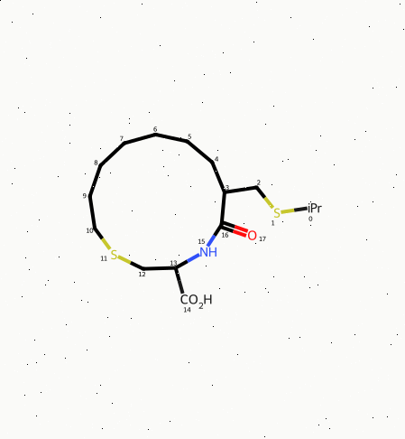 CC(C)SCC1CCCCCCCSCC(C(=O)O)NC1=O